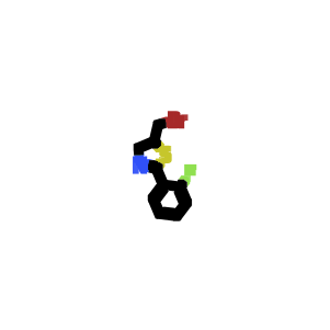 Fc1ccccc1C1=NCC(CBr)S1